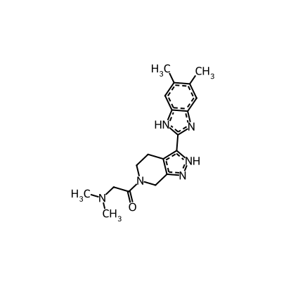 Cc1cc2nc(-c3[nH]nc4c3CCN(C(=O)CN(C)C)C4)[nH]c2cc1C